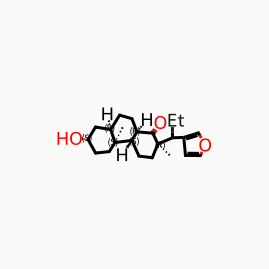 CCC(c1ccoc1)[C@@]1(C)CC[C@H]2[C@@H](CC[C@@H]3C[C@@H](O)CC[C@@]32C)C1=O